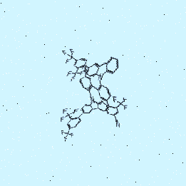 N#Cc1ccc(-n2c3ccccc3c3cc(-c4ccc(C(F)(F)F)cc4C(F)(F)F)ccc32)c(-c2cc(-c3ccc(C#N)cc3C(F)(F)F)ccc2-n2c3ccccc3c3cc(-c4ccc(C(F)(F)F)cc4C(F)(F)F)ccc32)c1